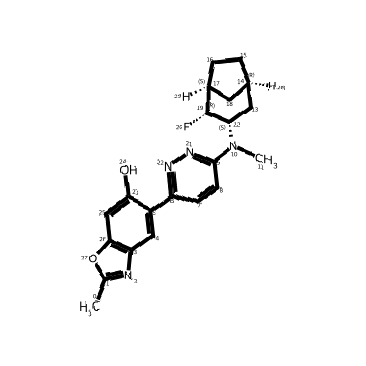 Cc1nc2cc(-c3ccc(N(C)[C@H]4C[C@@H]5CC[C@@H](C5)[C@H]4F)nn3)c(O)cc2o1